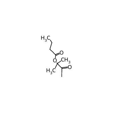 CCCC(=O)OC(C)(C)C(=O)I